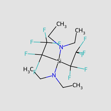 CCN(CC)[Si](N(CC)CC)(C(F)(F)C(F)(F)F)C(F)(F)C(F)(F)F